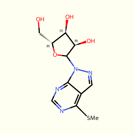 CSc1ncnc2c1cnn2C1O[C@H](CO)[C@@H](O)[C@H]1O